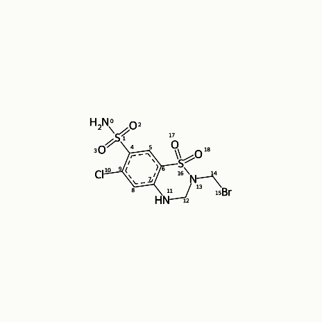 NS(=O)(=O)c1cc2c(cc1Cl)NCN(CBr)S2(=O)=O